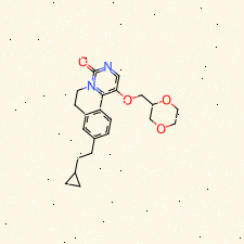 O=c1ncc(OCC2COCCO2)c2n1CCc1cc(CCC3CC3)ccc1-2